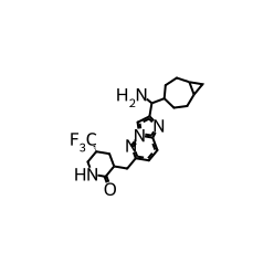 NC(c1cn2nc(CC3C[C@@H](C(F)(F)F)CNC3=O)ccc2n1)C1CCC2CC2CC1